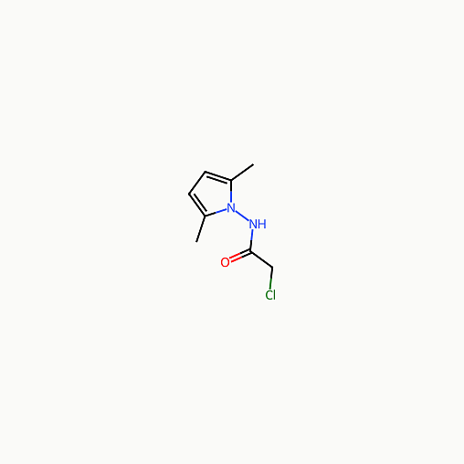 Cc1ccc(C)n1NC(=O)CCl